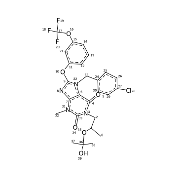 CC(Cn1c(=O)c2c(nc(Oc3cccc(OC(F)(F)F)c3)n2Cc2ccc(Cl)cc2)n(C)c1=O)OC(C)(C)O